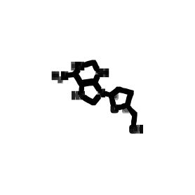 NC1NCNC2=C1NCN2[C@H]1CC[C@@H](CO)O1